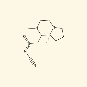 CN1CCN2CCC[C@@]2(C)C1C/[SH](=O)=N\C#N